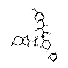 CN1CCc2nc(C(=O)N[C@H]3C[C@@H](c4ncco4)CC[C@@H]3NC(=O)C(=O)Nc3ccc(Cl)cn3)sc2C1